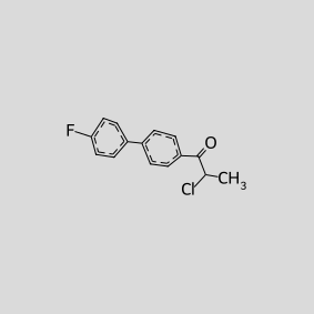 CC(Cl)C(=O)c1ccc(-c2ccc(F)cc2)cc1